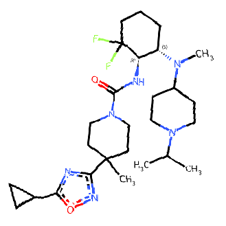 CC(C)N1CCC(N(C)[C@H]2CCCC(F)(F)[C@@H]2NC(=O)N2CCC(C)(c3noc(C4CC4)n3)CC2)CC1